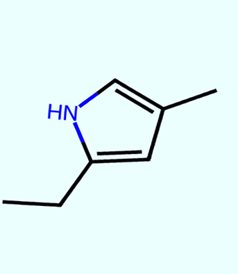 CCc1cc(C)c[nH]1